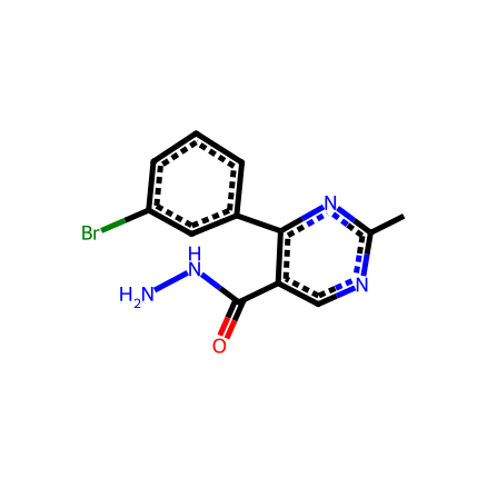 Cc1ncc(C(=O)NN)c(-c2cccc(Br)c2)n1